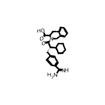 N=C(N)c1ccc(C[C@H](C(=O)N2Cc3ccccc3CC2C(=O)O)C2CCCCC2)cc1